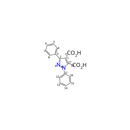 O=C(O)c1c(-c2ccccc2)nn(-c2ccccc2)c1C(=O)O